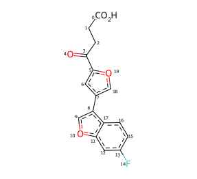 O=C(O)CCC(=O)c1cc(-c2coc3cc(F)ccc23)co1